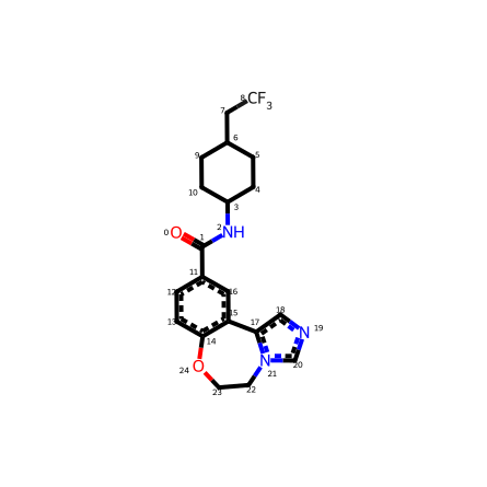 O=C(NC1CCC(CC(F)(F)F)CC1)c1ccc2c(c1)-c1cncn1CCO2